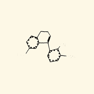 COc1cccc(C2=CCCc3ccc(C(=O)O)cc32)c1C#N